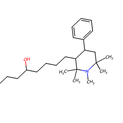 CCCC(O)CCCCC1C(c2ccccc2)CC(C)(C)N(C)C1(C)C